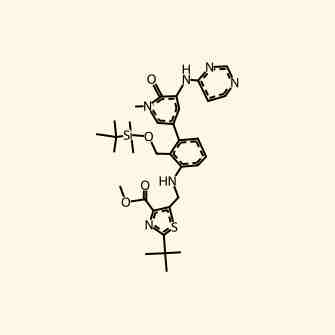 COC(=O)c1nc(C(C)(C)C)sc1CNc1cccc(-c2cc(Nc3ccncn3)c(=O)n(C)c2)c1CO[Si](C)(C)C(C)(C)C